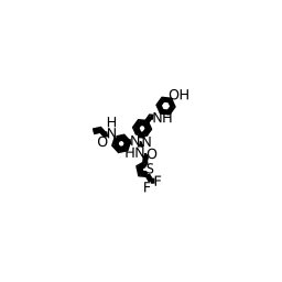 C=CC(=O)Nc1cccc(-n2c(NC(=O)c3ccc(C(F)F)s3)nc3cc(CN[C@H]4CC[C@@H](O)CC4)ccc32)c1